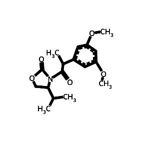 COc1cc(OC)cc(C(C)C(=O)N2C(=O)OCC2C(C)C)c1